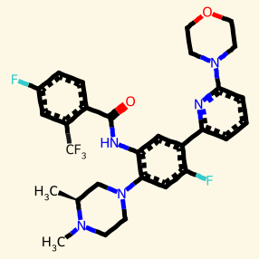 C[C@H]1CN(c2cc(F)c(-c3cccc(N4CCOCC4)n3)cc2NC(=O)c2ccc(F)cc2C(F)(F)F)CCN1C